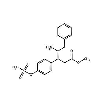 COC(=O)CC(c1ccc(OS(C)(=O)=O)cc1)C(N)Cc1ccccc1